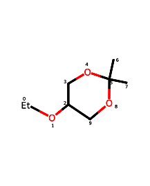 CCOC1COC(C)(C)OC1